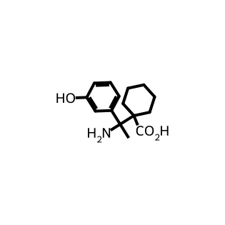 CC(N)(c1cccc(O)c1)C1(C(=O)O)CCCCC1